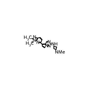 CN[C@H]1C[C@H](Nc2ncc3c(-c4ccc5nc(C)n(C)c5n4)ccn3n2)C1